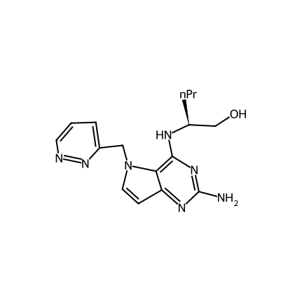 CCC[C@@H](CO)Nc1nc(N)nc2ccn(Cc3cccnn3)c12